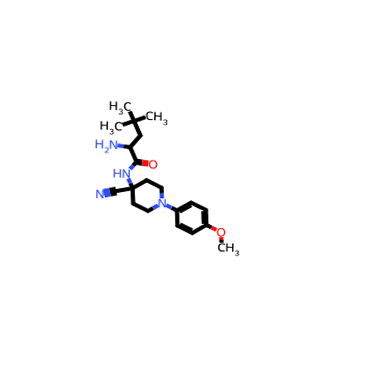 COc1ccc(N2CCC(C#N)(NC(=O)C(N)CC(C)(C)C)CC2)cc1